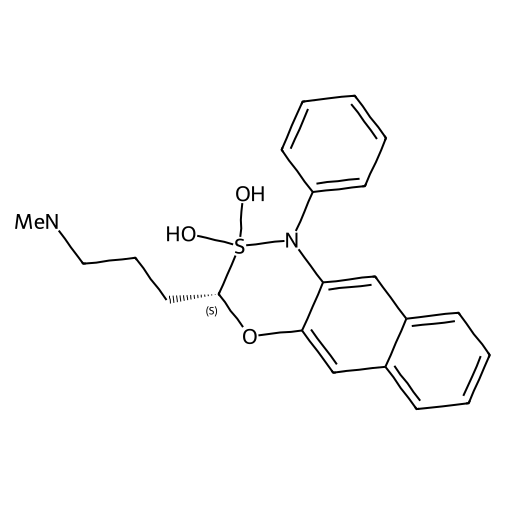 CNCCC[C@H]1Oc2cc3ccccc3cc2N(c2ccccc2)S1(O)O